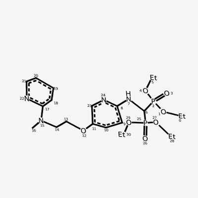 CCOP(=O)(OCC)C(Nc1ccc(OCCN(C)c2ccccn2)cn1)P(=O)(OCC)OCC